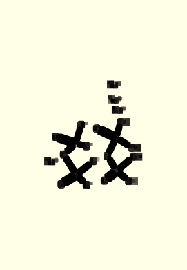 O=P(O)(O)OP(=O)(O)O.O=P([O-])([O-])OP(=O)([O-])[O-].[Na+].[Na+].[Na+].[Na+]